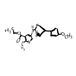 CCOC(=O)c1cc(Nc2ncc(-c3ccc(OC)cc3)cn2)cnc1C